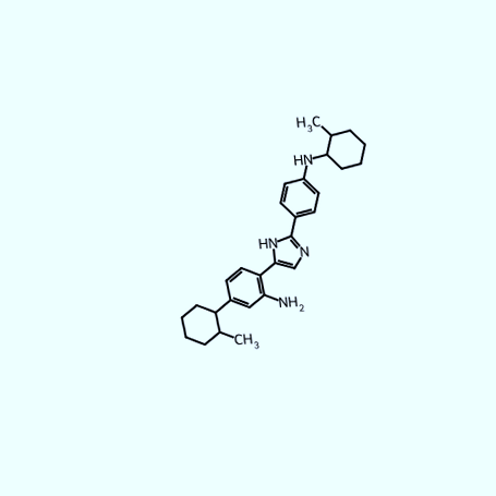 CC1CCCCC1Nc1ccc(-c2ncc(-c3ccc(C4CCCCC4C)cc3N)[nH]2)cc1